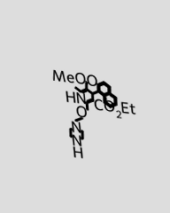 CCOC(=O)C1=C(COCCN2CCNCC2)NC(C)=C(C(=O)OC)C1c1cccc2ccccc12